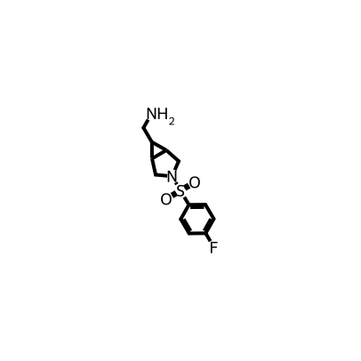 NCC1C2CN(S(=O)(=O)c3ccc(F)cc3)CC12